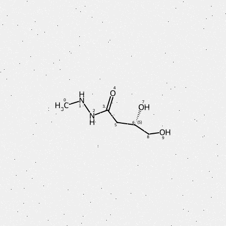 CNNC(=O)C[C@H](O)CO